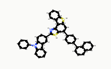 c1ccc(-n2c3ccccc3c3cc(-c4nc5c(s4)c(-c4ccc(-c6cccc7ccccc67)cc4)cc4sc6ccccc6c45)ccc32)cc1